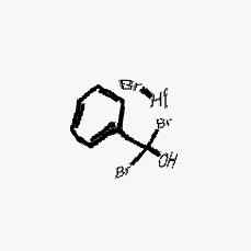 OC(Br)(Br)c1ccccc1.[Br][Hf]